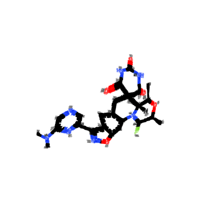 C[C@@H]1O[C@H](C)[C@@H]2N(c3cc4onc(-c5cncc(N(C)C)n5)c4cc3CC23C(=O)NC(=O)NC3=O)C1F